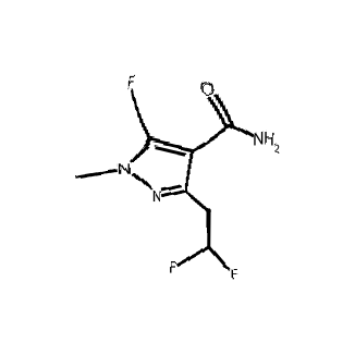 Cn1nc(CC(F)F)c(C(N)=O)c1F